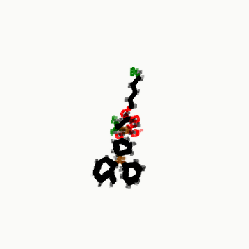 Cc1ccccc1[S+](c1ccccc1)c1ccccc1.O=C(OCCCCCBr)C(F)(F)S(=O)(=O)[O-]